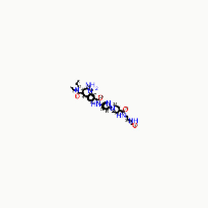 CCCN(CC)C(=O)C1=Cc2ccc(C(=O)Nc3ccc(N4CCC(C(=O)NCCNC=O)CC4)nc3)cc2N=C(N)C1